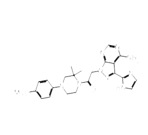 COc1ccc(N2CCN(C(=O)Cn3nc(-c4ncc[nH]4)c4c(N)ncnc43)C(C)(C)C2)cc1